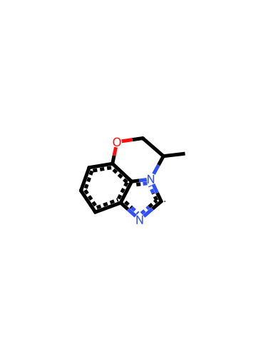 CC1COc2cccc3n[c]n1c23